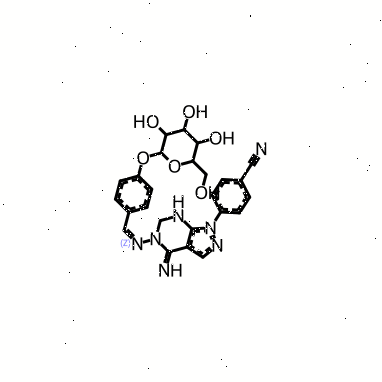 N#Cc1ccc(-n2ncc3c2NCN(/N=C\c2ccc(OC4OC(CO)C(O)C(O)C4O)cc2)C3=N)cc1